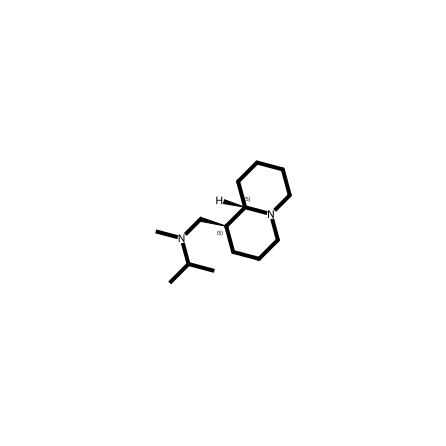 CC(C)N(C)C[C@@H]1CCCN2CCCC[C@@H]12